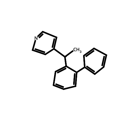 C[C](c1ccncc1)c1ccccc1-c1ccccc1